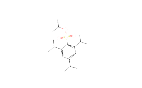 CC(C)OS(=O)(=O)c1c(C(C)C)cc(C(C)C)cc1C(C)C